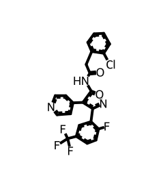 O=C(Cc1ccccc1Cl)Nc1onc(-c2cc(C(F)(F)F)ccc2F)c1-c1ccncc1